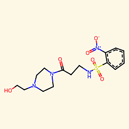 O=C(CCNS(=O)(=O)c1ccccc1[N+](=O)[O-])N1CCN(CCO)CC1